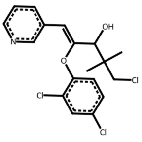 CC(C)(CCl)C(O)C(=Cc1cccnc1)Oc1ccc(Cl)cc1Cl